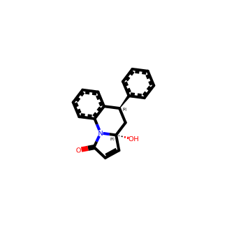 O=C1C=C[C@]2(O)C[C@H](c3ccccc3)c3ccccc3N12